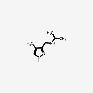 Cc1c[nH]nc1CNC(C)C